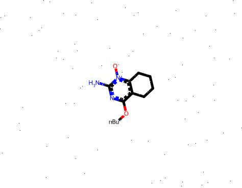 CCCCOc1nc(N)[n+]([O-])c2c1CCCC2